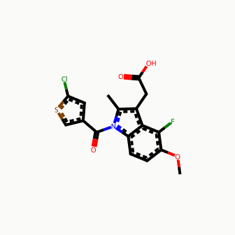 COc1ccc2c(c1F)c(CC(=O)O)c(C)n2C(=O)c1csc(Cl)c1